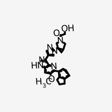 COc1cc2[nH]nc(-c3cnn(C45CC4CN(C(=O)CO)C5)c3)c2nc1-c1cccc2c1CCC2